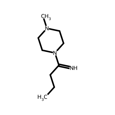 CCCC(=N)N1CCN(C)CC1